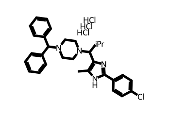 Cc1[nH]c(-c2ccc(Cl)cc2)nc1C(C(C)C)N1CCN(C(c2ccccc2)c2ccccc2)CC1.Cl.Cl.Cl